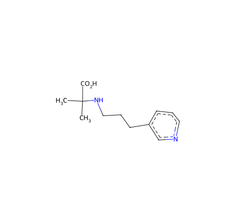 CC(C)(NCCCc1cccnc1)C(=O)O